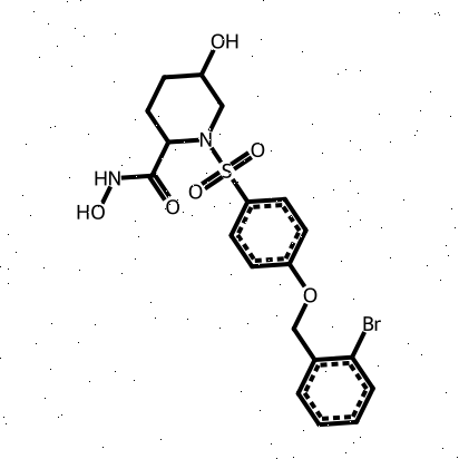 O=C(NO)C1CCC(O)CN1S(=O)(=O)c1ccc(OCc2ccccc2Br)cc1